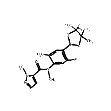 Cc1cc(B2OC(C)(C)C(C)(C)O2)c(F)cc1N(C)C(=O)c1ccnn1C